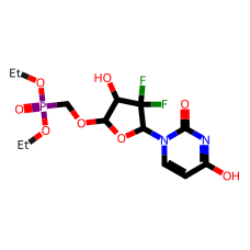 CCOP(=O)(COC1OC(n2ccc(O)nc2=O)C(F)(F)C1O)OCC